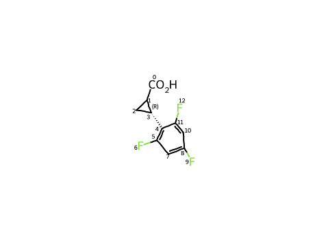 O=C(O)C1C[C@H]1c1c(F)cc(F)cc1F